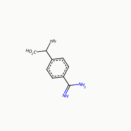 CCCC(C(=O)O)c1ccc(C(=N)N)cc1